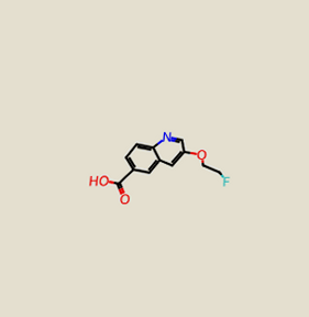 O=C(O)c1ccc2ncc(OCCF)cc2c1